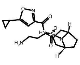 NCCCS(=O)(=O)N1[C@@H]2CC[C@H]1C[C@H](NC(=O)c1cc(C3CC3)on1)C2